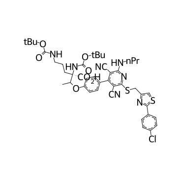 CCCNc1nc(SCc2csc(-c3ccc(Cl)cc3)n2)c(C#N)c(-c2ccc(OC(C)[C@@](CCCNC(=O)OC(C)(C)C)(NC(=O)OC(C)(C)C)C(=O)O)cc2)c1C#N